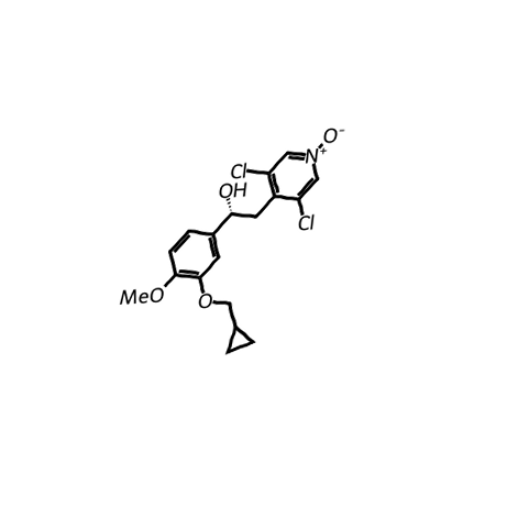 COc1ccc([C@H](O)Cc2c(Cl)c[n+]([O-])cc2Cl)cc1OCC1CC1